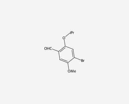 COc1cc(C=O)c(OC(C)C)cc1Br